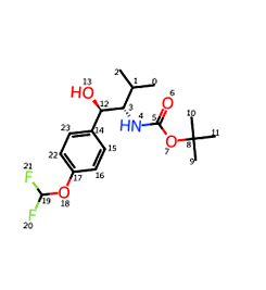 CC(C)[C@H](NC(=O)OC(C)(C)C)[C@H](O)c1ccc(OC(F)F)cc1